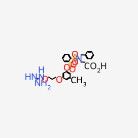 Cc1cc(OCCCONC(=N)N)cc(OS(=O)(=O)c2ccccc2S(=O)(=O)N(CCC(=O)O)Cc2ccccc2)c1